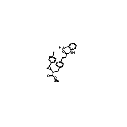 CC(C)(C)OC(=O)N(Cc1ccc(C=CC(=O)Nc2ccccc2N)cc1)C1CC1c1ccc(F)cc1